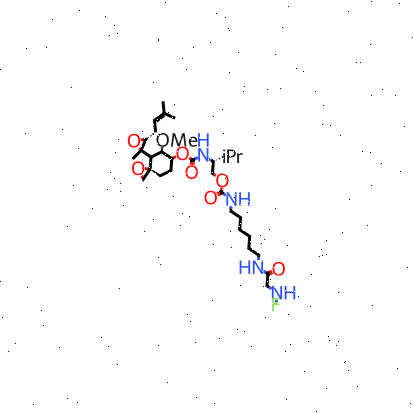 CO[C@H]1C(OC(=O)N[C@@H](COC(=O)NCCCCCCNC(=O)CNF)C(C)C)CC[C@]2(CO2)C1C1(C)O[C@@H]1CC=C(C)C